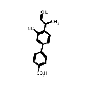 C=CC(C)c1ccc(-c2ccc(C(=O)O)cc2)cc1C#N